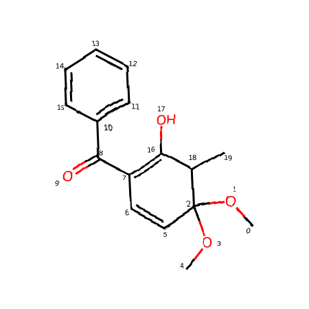 COC1(OC)C=CC(C(=O)c2ccccc2)=C(O)C1C